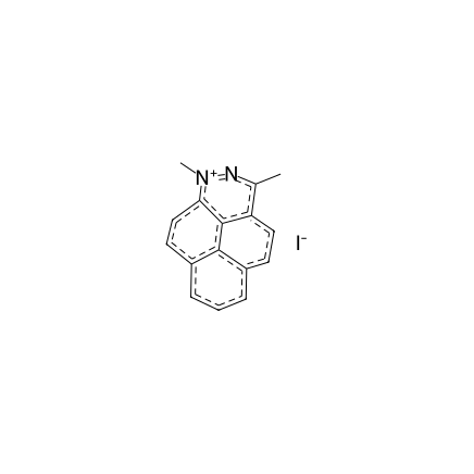 Cc1n[n+](C)c2ccc3cccc4ccc1c2c43.[I-]